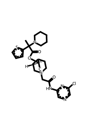 CC(C(=O)O[C@H]1C[N+]2(CC(=O)Nc3cncc(Cl)n3)CCC1CC2)(c1cccs1)N1CCCCC1